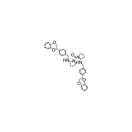 O=C(N1CCCC1NCc1ccc(C2COc3ccccc3O2)cc1)N1CCCC1NCc1ccc(C2COc3ccccc3O2)cc1